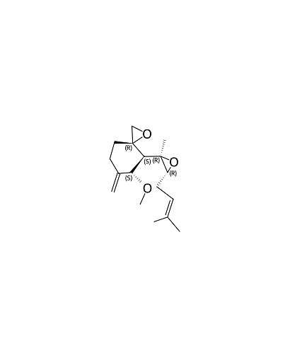 C=C1CC[C@]2(CO2)[C@@H]([C@@]2(C)O[C@@H]2CC=C(C)C)[C@@H]1OC